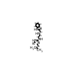 CN(C)CC/N=C(\NC#N)NCCNCc1nc2ccccc2[nH]1